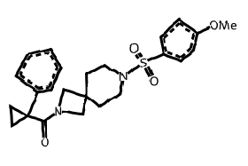 COc1ccc(S(=O)(=O)N2CCC3(CC2)CN(C(=O)C2(c4ccccc4)CC2)C3)cc1